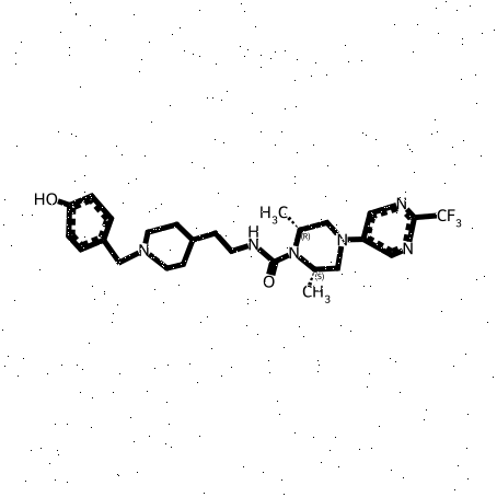 C[C@@H]1CN(c2cnc(C(F)(F)F)nc2)C[C@H](C)N1C(=O)NCCC1CCN(Cc2ccc(O)cc2)CC1